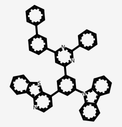 c1ccc(-c2cccc(-c3cc(-c4cc(-c5ccnc6c5sc5ccccc56)cc(-n5c6ccccc6c6ccccc65)c4)nc(-c4ccccc4)n3)c2)cc1